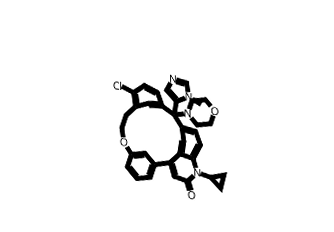 Cn1cncc1C1(N2CCOCC2)c2ccc(Cl)c(c2)CCOc2cccc(c2)-c2cc(=O)n(C3CC3)c3ccc1cc23